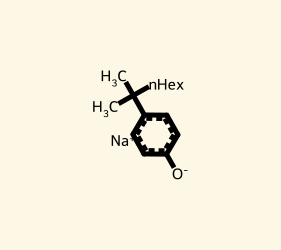 CCCCCCC(C)(C)c1ccc([O-])cc1.[Na+]